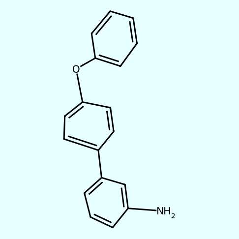 Nc1cccc(-c2ccc(Oc3ccccc3)cc2)c1